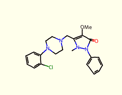 COc1c(CN2CCN(c3ccccc3Cl)CC2)n(C)n(-c2ccccc2)c1=O